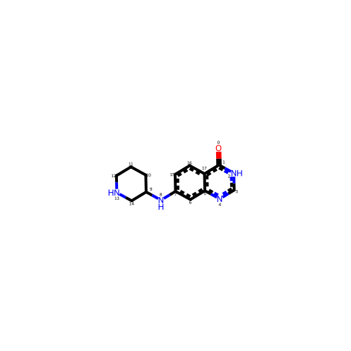 O=c1[nH]cnc2cc(NC3CCCNC3)ccc12